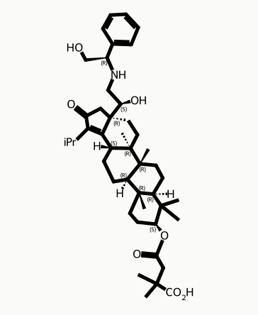 CC(C)C1=C2[C@H]3CC[C@@H]4[C@@]5(C)CC[C@H](OC(=O)CC(C)(C)C(=O)O)C(C)(C)[C@@H]5CC[C@@]4(C)[C@]3(C)CC[C@@]2([C@H](O)CN[C@@H](CO)c2ccccc2)CC1=O